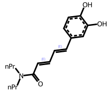 CCCN(CCC)C(=O)/C=C/C=C/c1ccc(O)c(O)c1